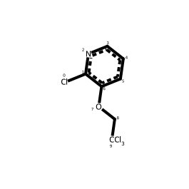 Clc1ncccc1OCC(Cl)(Cl)Cl